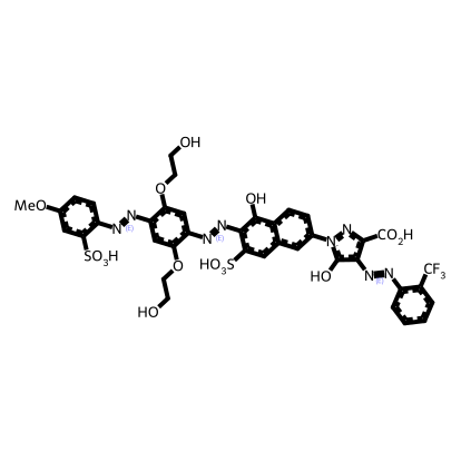 COc1ccc(/N=N/c2cc(OCCO)c(/N=N/c3c(S(=O)(=O)O)cc4cc(-n5nc(C(=O)O)c(/N=N/c6ccccc6C(F)(F)F)c5O)ccc4c3O)cc2OCCO)c(S(=O)(=O)O)c1